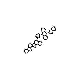 c1cc(-c2c3ccccc3c(-c3ccc4ccccc4c3)c3ccccc23)cc(-c2cc3c4ccc5c6ccccc6oc5c4oc3c3ccccc23)c1